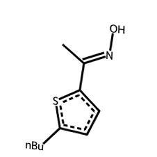 CCCCc1ccc(/C(C)=N/O)s1